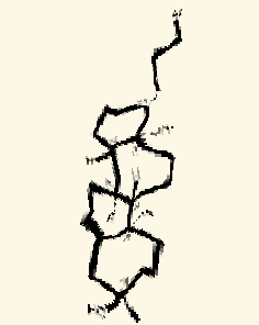 CC(=O)CCC[C@H]1CC[C@H]2[C@@H]3CC=C4C[C@@](C)(O)CC[C@]4(C)[C@H]3CC[C@]12C